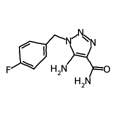 NC(=O)c1nnn(Cc2ccc(F)cc2)c1N